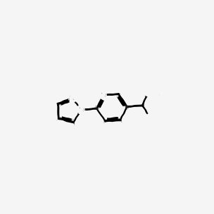 CC(C)c1ccc(-n2cccn2)nc1